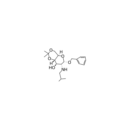 CC(C)CN[C@H]1[C@@H](OCc2ccccc2)O[C@@H]2COC(C)(C)O[C@H]2[C@@H]1O